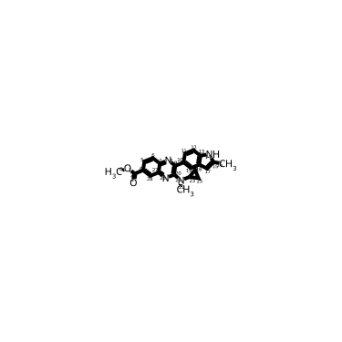 COC(=O)c1ccc2nc(-c3ccc4[nH]c(C)cc4c3)c(N(C)C3CC3)nc2c1